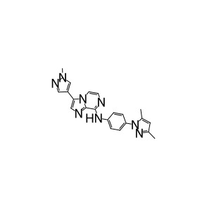 Cc1cc(C)n(-c2ccc(Nc3nccn4c(-c5cnn(C)c5)cnc34)cc2)n1